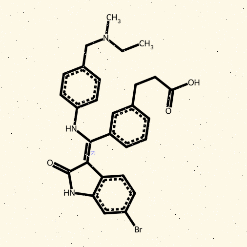 CCN(C)Cc1ccc(N/C(=C2\C(=O)Nc3cc(Br)ccc32)c2cccc(CCC(=O)O)c2)cc1